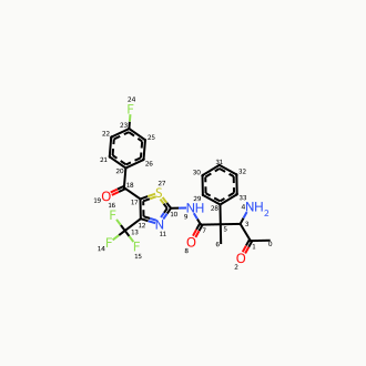 CC(=O)C(N)C(C)(C(=O)Nc1nc(C(F)(F)F)c(C(=O)c2ccc(F)cc2)s1)c1ccccc1